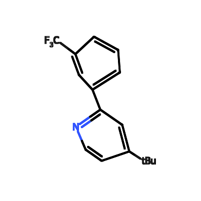 CC(C)(C)c1ccnc(-c2cccc(C(F)(F)F)c2)c1